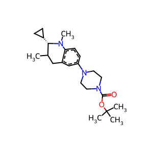 CC1Cc2cc(N3CCN(C(=O)OC(C)(C)C)CC3)ccc2N(C)[C@H]1C1CC1